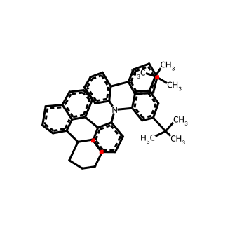 CC(C)(C)c1cc(N(c2ccccc2-c2ccccc2)c2ccccc2-c2cccc3cccc(C4CCCCC4)c23)cc(C(C)(C)C)c1